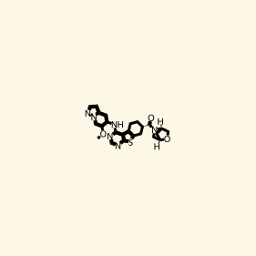 COc1cn2nccc2cc1Nc1ncnc2sc3c(c12)CC[C@H](C(=O)N1C[C@H]2C[C@@H]1CO2)C3